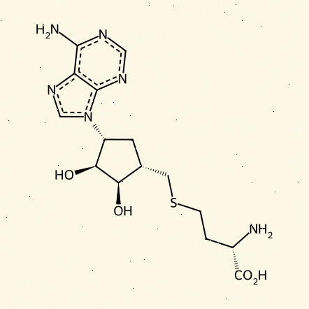 Nc1ncnc2c1ncn2[C@@H]1C[C@H](CSCC[C@H](N)C(=O)O)[C@@H](O)[C@H]1O